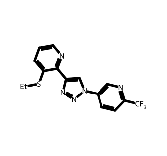 CCSc1cccnc1-c1cn(-c2ccc(C(F)(F)F)nc2)nn1